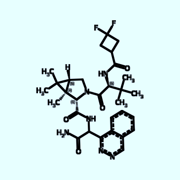 CC(C)(C)[C@H](NC(=O)C1CC(F)(F)C1)C(=O)N1C[C@H]2C(C)(C)[C@]2(C)[C@H]1C(=O)NC(C(N)=O)c1nncc2ccccc12